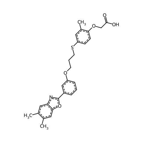 Cc1cc2nc(-c3cccc(OCCCSc4ccc(OCC(=O)O)c(C)c4)c3)oc2cc1C